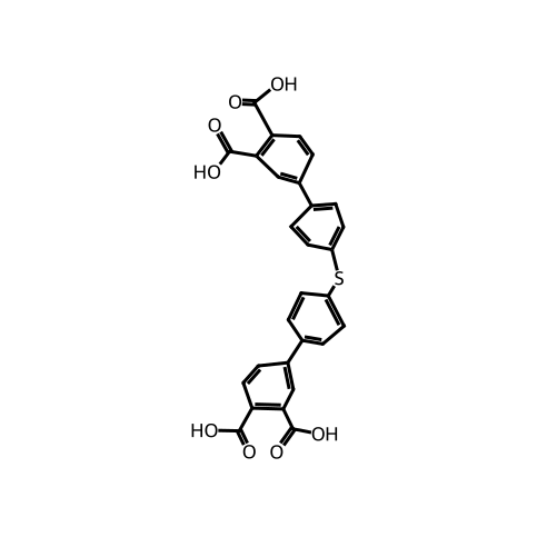 O=C(O)c1ccc(-c2ccc(Sc3ccc(-c4ccc(C(=O)O)c(C(=O)O)c4)cc3)cc2)cc1C(=O)O